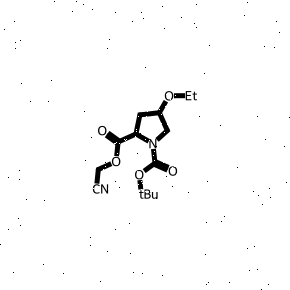 CCOC1CC(C(=O)OCC#N)N(C(=O)OC(C)(C)C)C1